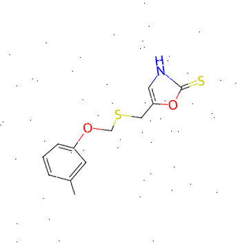 Cc1cccc(OCSCc2c[nH]c(=S)o2)c1